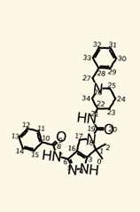 CC1(C)c2[nH]nc(NC(=O)c3ccccc3)c2CN1C(=O)NC1CCCN(Cc2ccccc2)C1